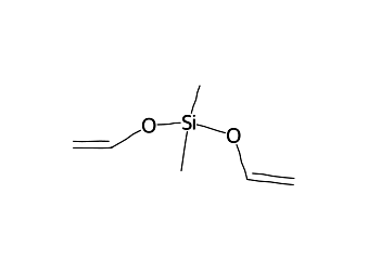 C=CO[Si](C)(C)OC=C